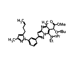 C=CCCc1cc(C)nn1-c1cccc(-c2cc3nc(C)c([C@H](OC(C)(C)C)C(=O)OC)c(N(CC)CCC)n3n2)c1